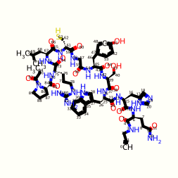 C#CCNC(=O)[C@H](CCC(N)=O)NC(=O)[C@H](Cc1cnc[nH]1)NC(=O)[C@H](Cc1c[nH]c2ccccc12)NC(=O)[C@H](CO)NC(=O)[C@H](Cc1ccc(O)cc1)NC(=O)CNC(=O)[C@@H](CS)NC(=O)[C@H](CC(C)C)NC(=O)[C@H](CCCNC(=N)N)NC(=O)[C@@H]1CCCN1C(=O)CC